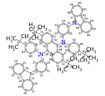 CC(C)(C)c1ccc(N(c2cccc(C3c4ccccc4-c4ccccc43)c2)c2c3ccc(C(C)(C)C)cc3c(N(c3ccc(C(C)(C)C)cc3)c3cccc(-n4c5ccccc5c5ccccc54)c3)c3ccc(C(C)(C)C)cc23)cc1